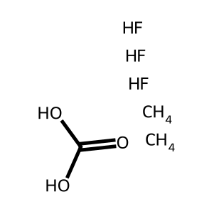 C.C.F.F.F.O=C(O)O